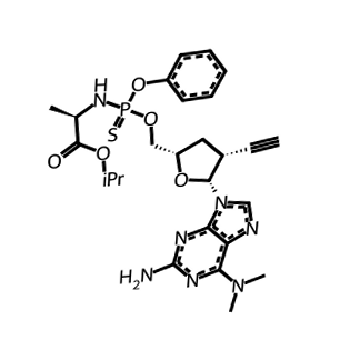 C#C[C@H]1C[C@@H](COP(=S)(N[C@H](C)C(=O)OC(C)C)Oc2ccccc2)O[C@H]1n1cnc2c(N(C)C)nc(N)nc21